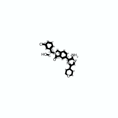 Nc1ncc(C2CCOCC2)nc1-c1ccc2c(c1)C(=O)N([C@H](CO)c1cccc(Cl)c1)C2